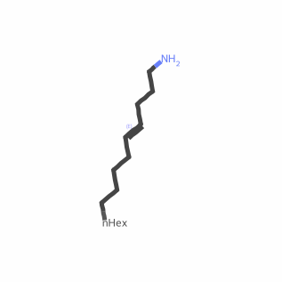 CCCCCCCCCC/C=C/CCCN